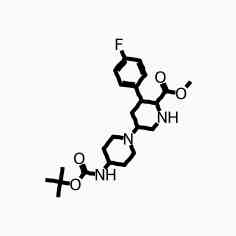 COC(=O)C1NCC(N2CCC(NC(=O)OC(C)(C)C)CC2)CC1c1ccc(F)cc1